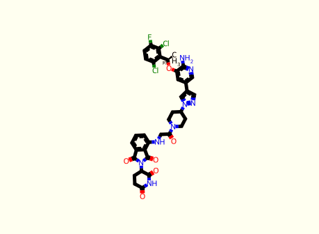 C[C@@H](Oc1cc(-c2cnn(C3CCN(C(=O)CNc4cccc5c4C(=O)N(C4CCC(=O)NC4=O)C5=O)CC3)c2)cnc1N)c1c(Cl)ccc(F)c1Cl